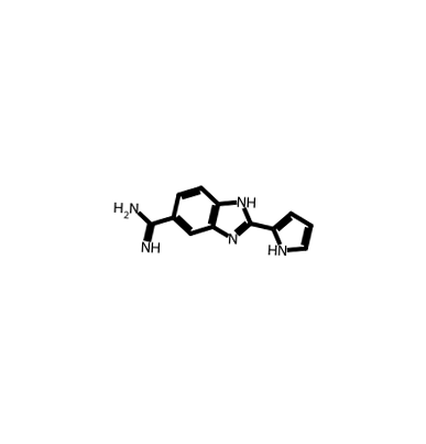 N=C(N)c1ccc2[nH]c(-c3ccc[nH]3)nc2c1